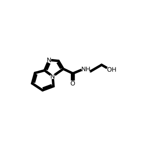 O=C(NCCO)c1cnc2ccccn12